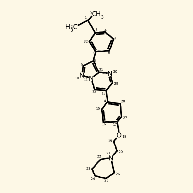 CC(C)c1cccc(-c2cnn3cc(-c4ccc(OCCN5CCCCC5)cc4)cnc23)c1